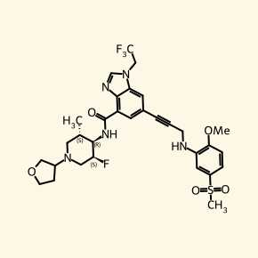 COc1ccc(S(C)(=O)=O)cc1NCC#Cc1cc(C(=O)N[C@@H]2[C@@H](C)CN(C3CCOC3)C[C@@H]2F)c2ncn(CC(F)(F)F)c2c1